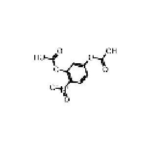 O=C(O)Oc1ccc([N+](=O)[O-])c(OC(=O)O)c1